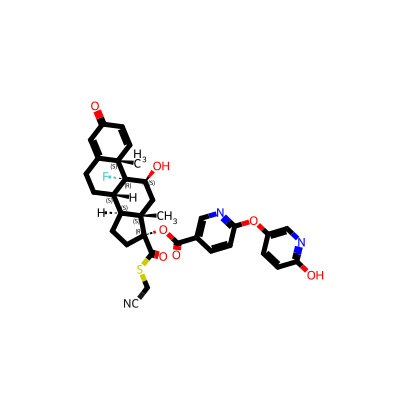 C[C@]12C=CC(=O)C=C1CC[C@H]1[C@@H]3CC[C@](OC(=O)c4ccc(Oc5ccc(O)nc5)nc4)(C(=O)SCC#N)[C@@]3(C)C[C@H](O)[C@@]12F